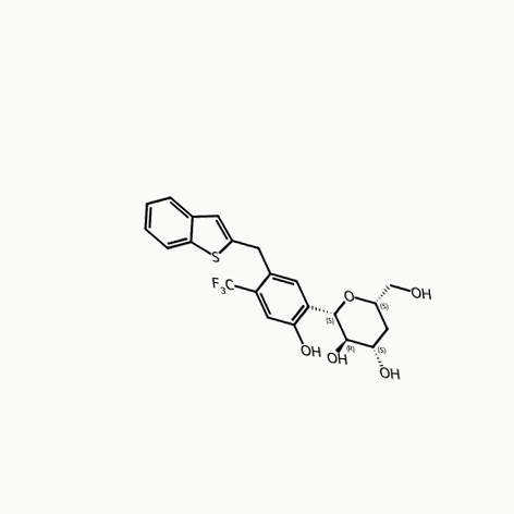 OC[C@@H]1C[C@H](O)[C@@H](O)[C@H](c2cc(Cc3cc4ccccc4s3)c(C(F)(F)F)cc2O)O1